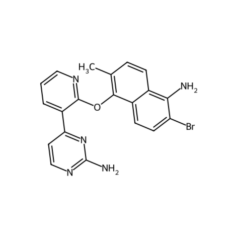 Cc1ccc2c(N)c(Br)ccc2c1Oc1ncccc1-c1ccnc(N)n1